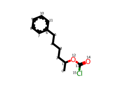 CC(CCCCc1ccccc1)OC(=O)Cl